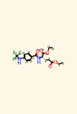 CCOC(=O)CC[C@H](NC(=O)c1ccc(NC(F)(F)F)cc1)C(=O)OCC